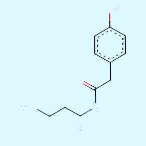 CSCC[C@H](NC(=O)Cc1ccc(O)cc1)C(=O)O